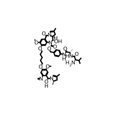 C=Nc1cc(OCCCCCOc2cc3c(cc2OC)C(=O)N2C=C(C)C[C@H]2[C@H](O)N3C(=O)OCc2ccc(NC(=O)[C@H](C)NC(=O)[C@@H](N)C(C)C)cc2)c(OC)cc1C(O)N1C=C(C)C[C@H]1C